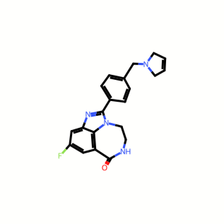 O=C1NCCn2c(-c3ccc(CN4CC=CC4)cc3)nc3cc(F)cc1c32